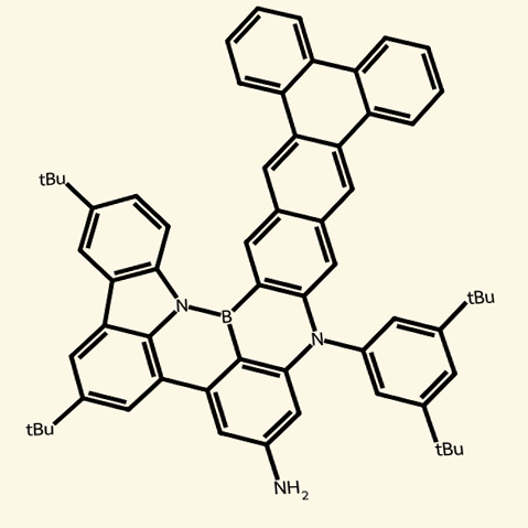 CC(C)(C)c1cc(N2c3cc4cc5c6ccccc6c6ccccc6c5cc4cc3B3c4c(cc(N)cc42)-c2cc(C(C)(C)C)cc4c5cc(C(C)(C)C)ccc5n3c24)cc(C(C)(C)C)c1